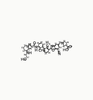 Cc1c(NC(=O)c2cc3n(n2)CCCC3NCCO)cccc1-c1cccc(-c2nc3cc(CN4CC[C@@H](C(=O)O)C4)cc(C#N)c3o2)c1C